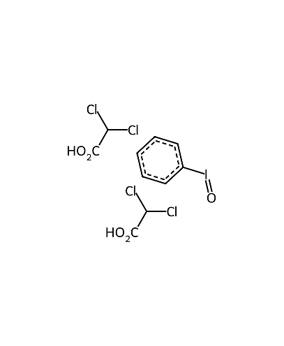 O=C(O)C(Cl)Cl.O=C(O)C(Cl)Cl.O=Ic1ccccc1